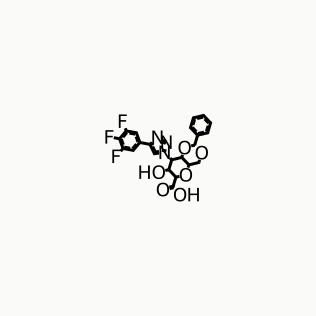 O=C(O)C1OC2COC(c3ccccc3)OC2C(n2cc(-c3cc(F)c(F)c(F)c3)nn2)C1O